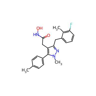 Cc1ccc(-c2c(CC(=O)NO)c(Cc3cccc(F)c3C)nn2C)cc1